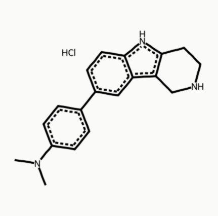 CN(C)c1ccc(-c2ccc3[nH]c4c(c3c2)CNCC4)cc1.Cl